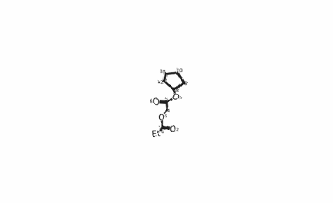 CCC(=O)OCC(=O)OC1CCCC1